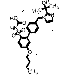 CCCCOc1ccc(S(=O)(=O)NC(=O)O)c(-c2ccc(Cn3ccnc3C(C)(C)O)cc2)c1